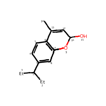 CCC(CC)c1ccc2c(c1)OC(O)C=C2C